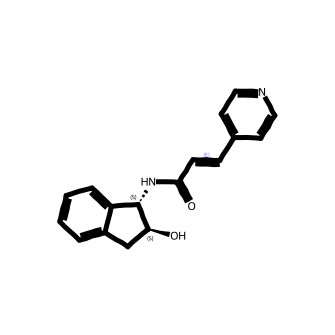 O=C(/C=C/c1ccncc1)N[C@H]1c2ccccc2C[C@@H]1O